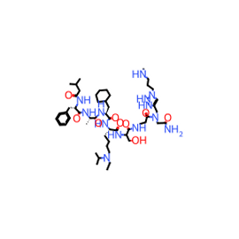 CCN(CCCC[C@H](NC(=O)[C@H](CC1CCCCC1)NC(=O)[C@H](C)NC(=O)[C@H](Cc1ccccc1)NC(=O)CC(C)C)C(=O)NC(CO)C(=O)NCCC(=O)N(CC(N)=O)CC1=CN(CCCNC)NN1)C(C)C